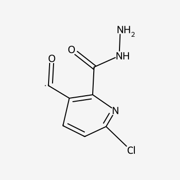 NNC(=O)c1nc(Cl)ccc1[C]=O